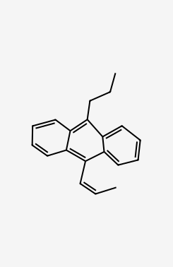 C/C=C\c1c2ccccc2c(CCC)c2ccccc12